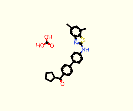 Cc1cc(C)c2sc(Nc3ccc(-c4ccc(C(=O)C5CCCC5)cc4)cc3)nc2c1.O=C(O)O